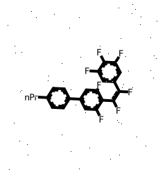 CCCc1ccc(-c2cc(F)c(/C(F)=C(/F)c3cc(F)c(F)c(F)c3)c(F)c2)cc1